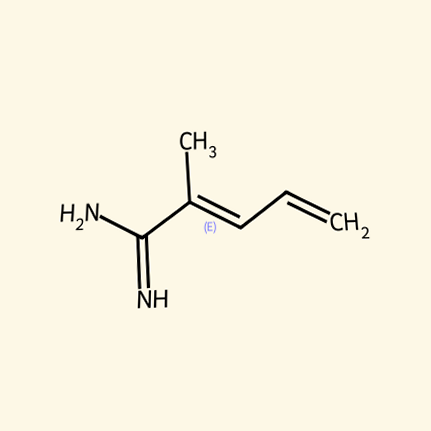 C=C/C=C(\C)C(=N)N